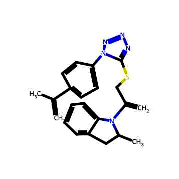 C=C(C)c1ccc(-n2nnnc2SCC(=C)N2c3ccccc3CC2C)cc1